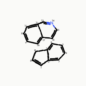 C1=Cc2ccccc2C1.c1ccc2cnccc2c1